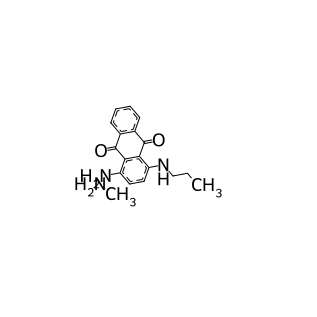 CCCNc1ccc(N)c2c1C(=O)c1ccccc1C2=O.CN